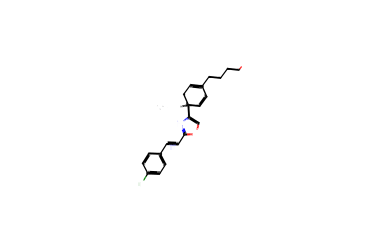 COC1(c2coc(/C=C/c3ccc(Br)cc3)n2)C=CC(CCCCO)=CC1